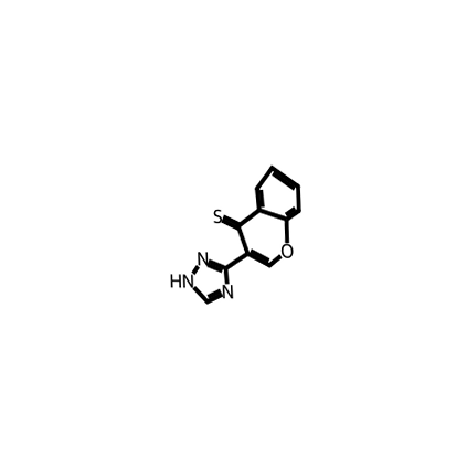 S=c1c(-c2nc[nH]n2)coc2ccccc12